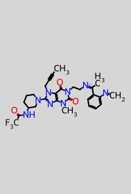 C=Nc1ccccc1/C(C)=N\CCn1c(=O)c2c(nc(N3CCCC(NC(=O)C(F)(F)F)C3)n2CC#CC)n(C)c1=O